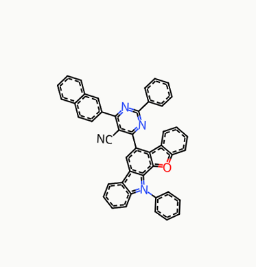 N#Cc1c(-c2ccc3ccccc3c2)nc(-c2ccccc2)nc1-c1cc2c3ccccc3n(-c3ccccc3)c2c2oc3ccccc3c12